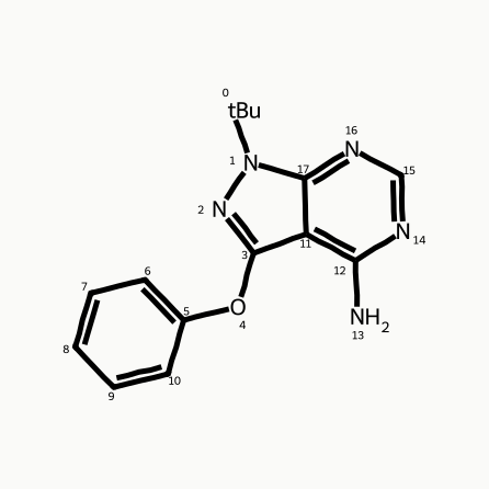 CC(C)(C)n1nc(Oc2ccccc2)c2c(N)ncnc21